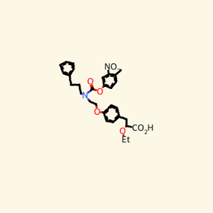 CCOC(Cc1ccc(OCCN(CCCc2ccccc2)C(=O)Oc2ccc(C)c([N+](=O)[O-])c2)cc1)C(=O)O